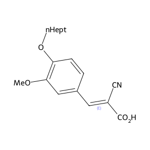 CCCCCCCOc1ccc(/C=C(\C#N)C(=O)O)cc1OC